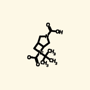 CC(C)(C)[N+]1(C(=O)[O-])CC2CN(C(=O)O)CC21